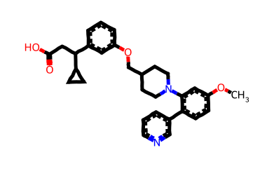 COc1ccc(-c2cccnc2)c(N2CCC(COc3cccc(C(CC(=O)O)C4CC4)c3)CC2)c1